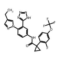 CCc1cnn(-c2ccc(NC(=O)C3(c4ccc(OC(F)(F)F)cc4F)CC3)cc2-c2nnn[nH]2)c1